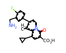 Cc1c(-c2ccc(F)c(CN)c2)ccn2c(=O)c(C(=O)O)cc(C3CC3)c12